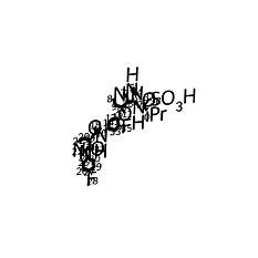 CC(C)C(Nc1n[nH]c2nccc(Oc3ccc(NC(=O)c4ccnn(-c5ccc(F)cc5)c4=O)cc3F)c12)OS(=O)(=O)O